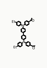 CCc1ccc(N(c2ccc(-c3ccc(N(c4ccc(CC)cc4)c4ccc(C5CO5)cc4)cc3)cc2)c2ccc(C3CO3)cc2)cc1